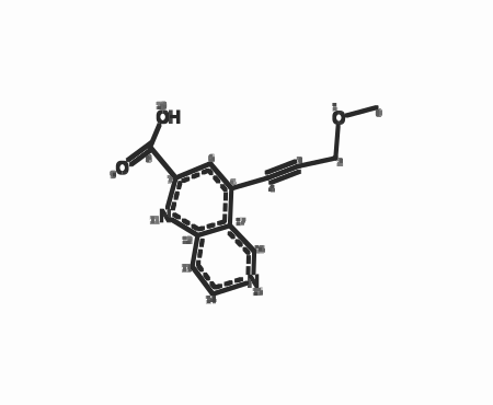 COCC#Cc1cc(C(=O)O)nc2ccncc12